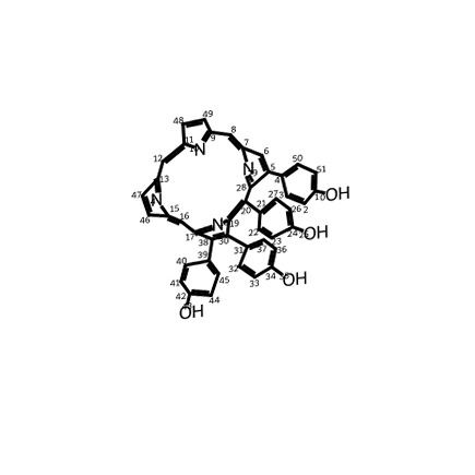 Oc1ccc(C2=CC3=CC4=NC(=CC5=NC(=CC6=NC(=C(c7ccc(O)cc7)C2=N3)C(c2ccc(O)cc2)=C6c2ccc(O)cc2)C=C5)C=C4)cc1